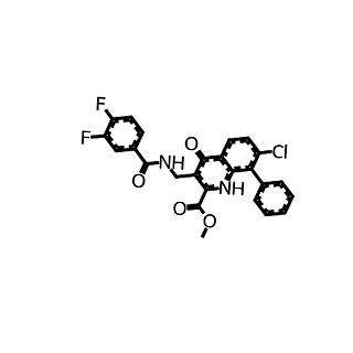 COC(=O)c1[nH]c2c(-c3ccccc3)c(Cl)ccc2c(=O)c1CNC(=O)c1ccc(F)c(F)c1